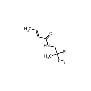 C/C=C/C(=O)NCC(C)(C)CC